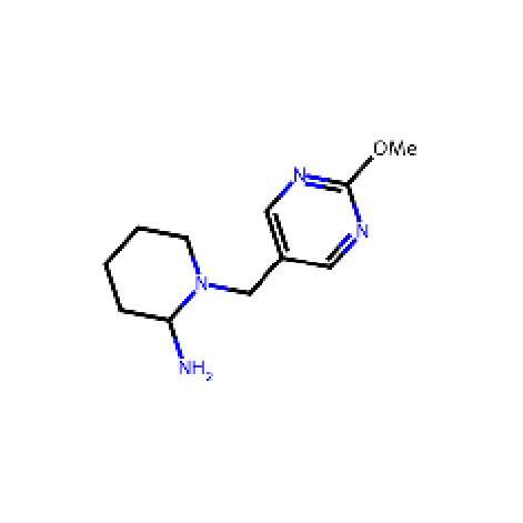 COc1ncc(CN2CCCCC2N)cn1